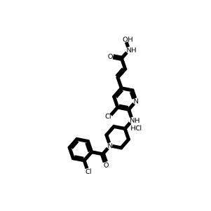 Cl.O=C(/C=C/c1cnc(NC2CCN(C(=O)c3ccccc3Cl)CC2)c(Cl)c1)NO